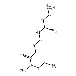 NCCC([C]=O)C(=O)CCCNC(N)CCC(=O)O